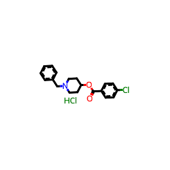 Cl.O=C(OC1CCN(Cc2ccccc2)CC1)c1ccc(Cl)cc1